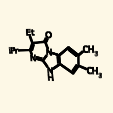 CCc1c(C(C)C)nc2[nH]c3cc(C)c(C)cc3n2c1=O